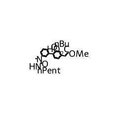 CCCCCNC(=O)N(C)c1cccc(-c2ccc(/C=C(/OC)C(=O)O)cc2OCCCC)c1